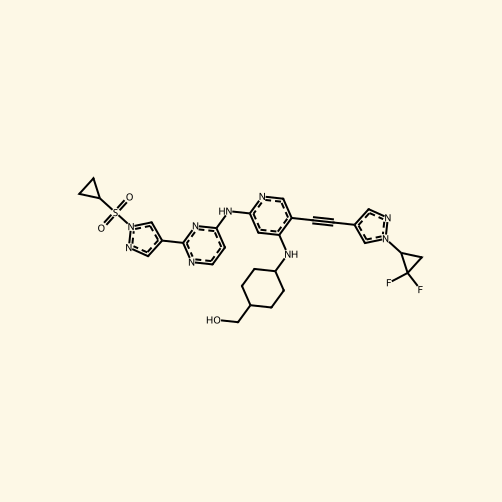 O=S(=O)(C1CC1)n1cc(-c2nccc(Nc3cc(NC4CCC(CO)CC4)c(C#Cc4cnn(C5CC5(F)F)c4)cn3)n2)cn1